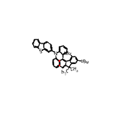 CC(C)(C)c1cc(C(C)(C)C)c2c(c1)C(C)(C)c1cccc(-c3ccccc3N(c3ccccc3)c3ccc4c(c3)sc3ccccc34)c1-2